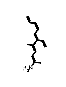 C=C\C=C/C=C(C=C)/C(C)=C/C=C(\C)N